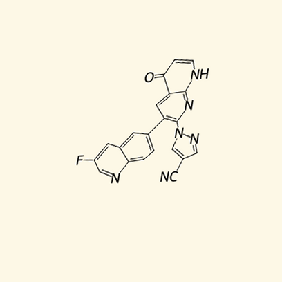 N#Cc1cnn(-c2nc3[nH]ccc(=O)c3cc2-c2ccc3ncc(F)cc3c2)c1